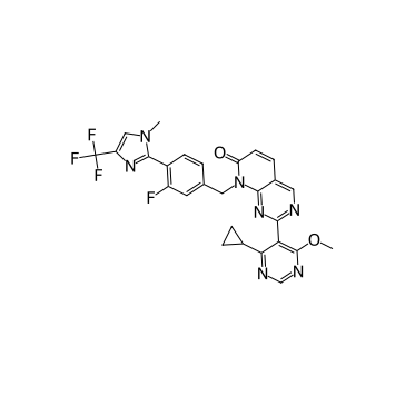 COc1ncnc(C2CC2)c1-c1ncc2ccc(=O)n(Cc3ccc(-c4nc(C(F)(F)F)cn4C)c(F)c3)c2n1